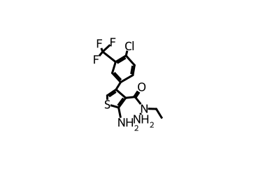 CCN(N)C(=O)c1c(-c2ccc(Cl)c(C(F)(F)F)c2)csc1N